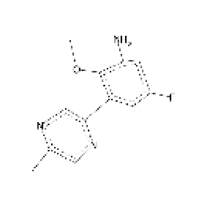 COc1c(N)cc(F)cc1-c1cnc(C)cn1